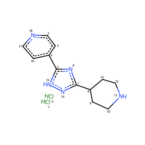 Cl.Cl.c1cc(-c2nc(C3CCNCC3)n[nH]2)ccn1